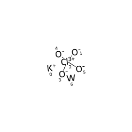 [K+].[O-][Cl+3]([O-])([O-])[O-].[W]